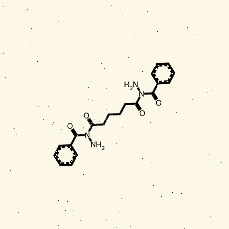 NN(C(=O)CCCCC(=O)N(N)C(=O)c1ccccc1)C(=O)c1ccccc1